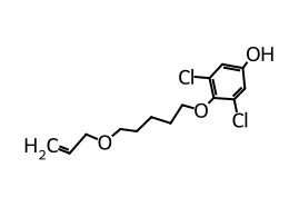 C=CCOCCCCCOc1c(Cl)cc(O)cc1Cl